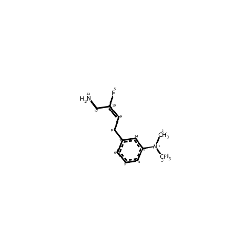 CN(C)c1cccc(C/C=C(/F)CN)c1